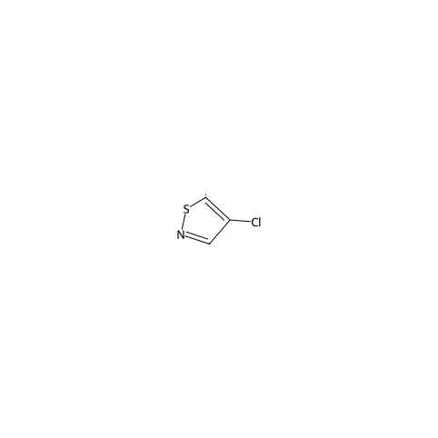 Clc1[c]snc1